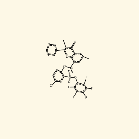 Cc1cc([C@@H](C)Oc2ccc(Cl)nc2S(=O)(=O)Oc2c(F)c(F)c(F)c(F)c2F)c2oc(-c3cncnc3)c(C)c(=O)c2c1